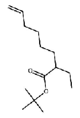 C=CCCCCC(CC)C(=O)OC(C)(C)C